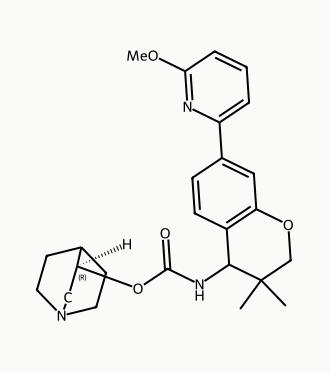 COc1cccc(-c2ccc3c(c2)OCC(C)(C)C3NC(=O)O[C@H]2CN3CCC2CC3)n1